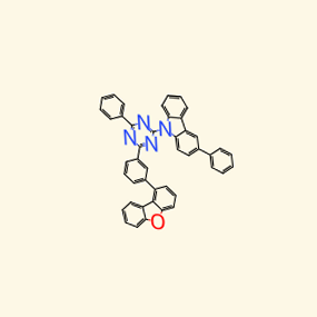 c1ccc(-c2ccc3c(c2)c2ccccc2n3-c2nc(-c3ccccc3)nc(-c3cccc(-c4cccc5oc6ccccc6c45)c3)n2)cc1